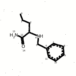 CCCC(NCc1ccccc1)C(N)=O